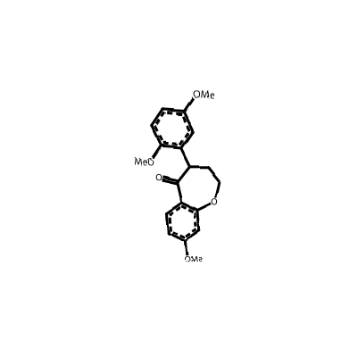 COc1ccc2c(c1)OCCC(c1cc(OC)ccc1OC)C2=O